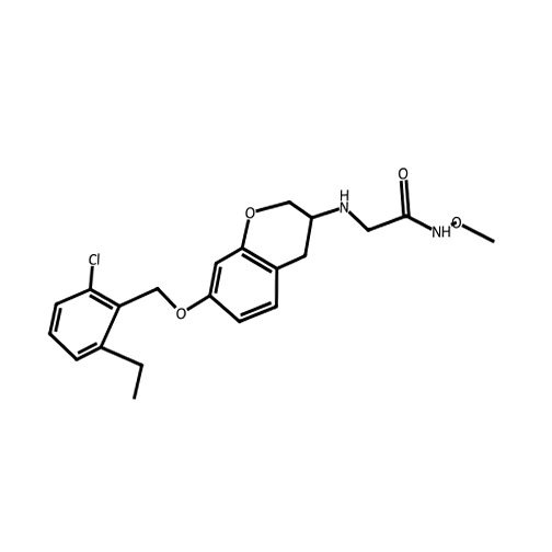 CCc1cccc(Cl)c1COc1ccc2c(c1)OCC(NCC(=O)NOC)C2